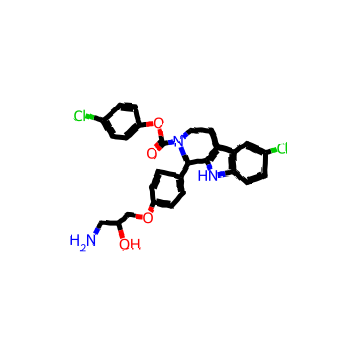 NCC(O)COc1ccc(C2c3[nH]c4ccc(Cl)cc4c3CCN2C(=O)Oc2ccc(Cl)cc2)cc1